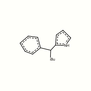 CCC(C)C(c1ccccc1)c1ccc[nH]1